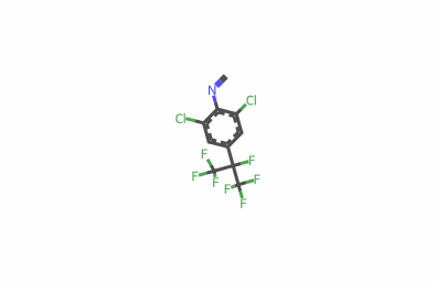 C=Nc1c(Cl)cc(C(F)(C(F)(F)F)C(F)(F)F)cc1Cl